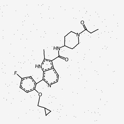 CCC(=O)N1CCC(NC(=O)c2c(C)[nH]c3c(-c4cc(F)ccc4OCC4CC4)nccc23)CC1